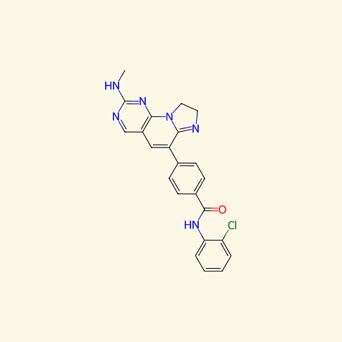 CNc1ncc2c(n1)N1CCN=C1C(c1ccc(C(=O)Nc3ccccc3Cl)cc1)=C2